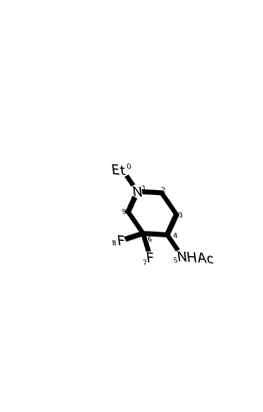 CCN1CCC(NC(C)=O)C(F)(F)C1